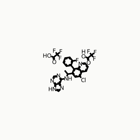 CC(Nc1ncnc2[nH]cnc12)c1cc(Cl)c2cccnc2c1-c1ccccc1F.O=C(O)C(F)(F)F.O=C(O)C(F)(F)F